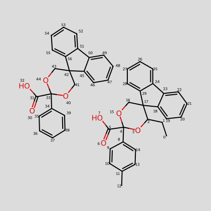 CCC1OC(C(=O)O)(c2ccc(C)cc2)OCC12c1ccccc1-c1ccccc12.O=C(O)C1(c2ccccc2)OCC2(CO1)c1ccccc1-c1ccccc12